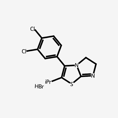 Br.CC(C)C1=C(c2ccc(Cl)c(Cl)c2)N2CCN=C2S1